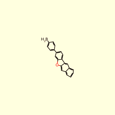 Bc1ccc(-c2ccc3c(c2)oc2cc4ccccc4cc23)cc1